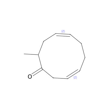 CC1C/C=C\CC/C=C\CC1=O